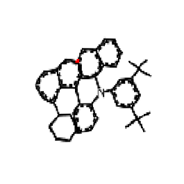 CC(C)(C)c1cc(N(c2ccccc2-c2cccc3cccc(C4CCCCC4)c23)c2cccc3ccccc23)cc(C(C)(C)C)c1